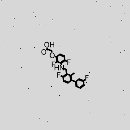 Cc1c(-c2cccc(F)c2)ccc(F)c1CNc1c(F)ccc(OCC(=O)O)c1F